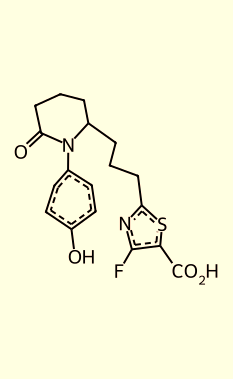 O=C(O)c1sc(CCCC2CCCC(=O)N2c2ccc(O)cc2)nc1F